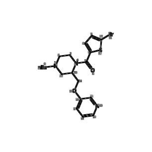 CCCCN1CCN(C(=O)c2ccc(Br)s2)C(COc2cccnc2)C1